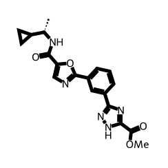 COC(=O)c1nc(-c2cccc(-c3ncc(C(=O)N[C@@H](C)C4CC4)o3)c2)n[nH]1